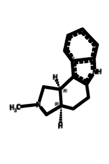 CN1C[C@@H]2CCc3[nH]c4ccccc4c3[C@@H]2C1